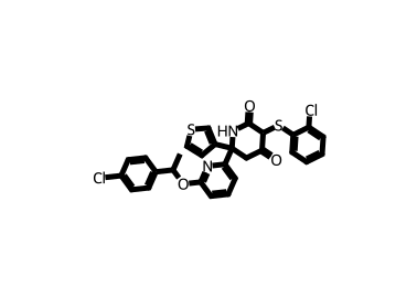 CC(Oc1cccc(C2(c3ccsc3)CC(=O)C(Sc3ccccc3Cl)C(=O)N2)n1)c1ccc(Cl)cc1